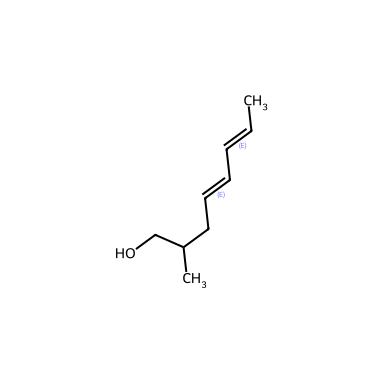 C/C=C/C=C/CC(C)CO